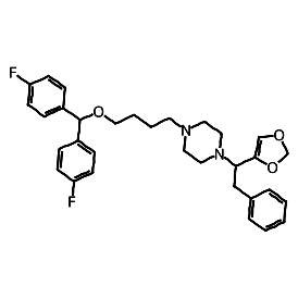 Fc1ccc(C(OCCCCN2CCN(C(Cc3ccccc3)C3=COCO3)CC2)c2ccc(F)cc2)cc1